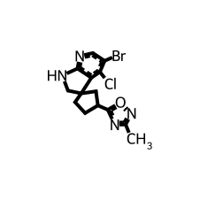 Cc1noc(C2CCC3(CNc4ncc(Br)c(Cl)c43)C2)n1